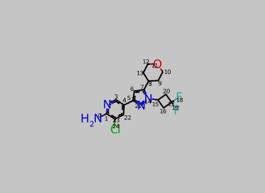 Nc1ncc(-c2cc(C3CCOCC3)n(C3CC(F)(F)C3)n2)cc1Cl